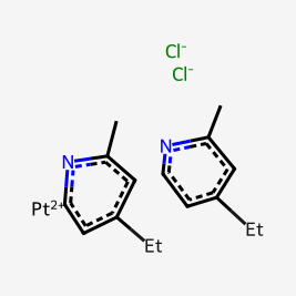 CCc1ccnc(C)c1.CCc1ccnc(C)c1.[Cl-].[Cl-].[Pt+2]